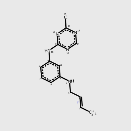 C/C=C/CNc1cccc(Nc2ncnc(Cl)n2)c1